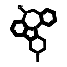 CN1CCc2c(c3cccc4c3n2-c2ccccc2C[S+]4[O-])C1